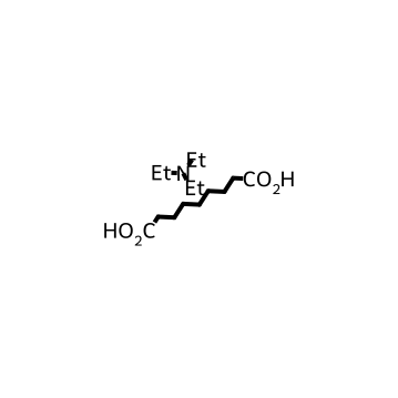 CCN(CC)CC.O=C(O)CCCCCCCC(=O)O